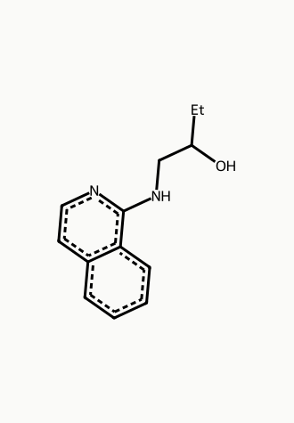 CCC(O)CNc1nccc2ccccc12